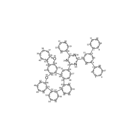 c1ccc(-c2cc(-c3ccccc3)cc(-c3nc(-c4ccccc4)nc(-c4ccc5c(c4)-c4cc6oc7ccccc7c6cc4Oc4ccccc4-c4ccccc4-c4ccccc4-5)n3)c2)cc1